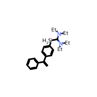 C=C(c1ccccc1)c1ccc([SiH2]C(N(CC)CC)N(CC)CC)cc1